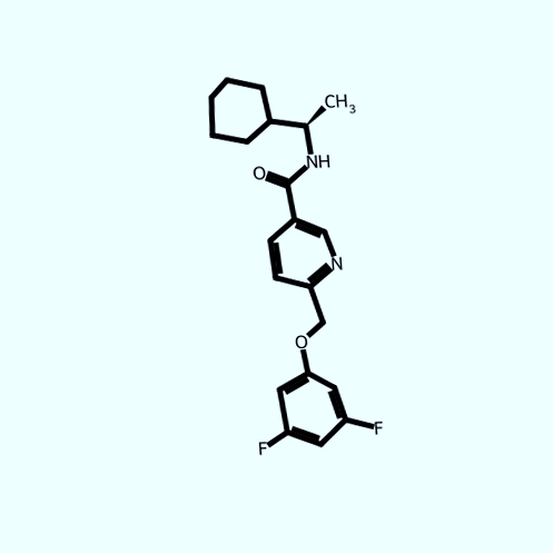 C[C@@H](NC(=O)c1ccc(COc2cc(F)cc(F)c2)nc1)C1CCCCC1